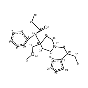 CCC(=O)N(c1ccccc1)C1(COC)CCN(CC(CC)c2cccs2)CC1